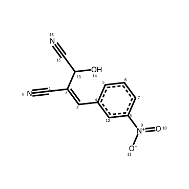 N#CC(=Cc1cccc([N+](=O)[O-])c1)C(O)C#N